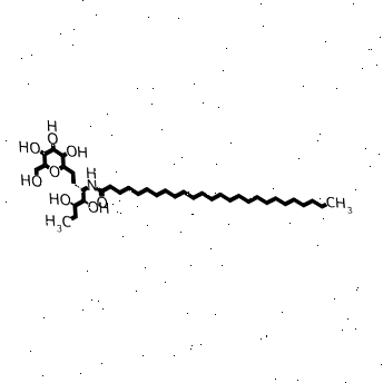 CCCCCCCCCCCCCCCCCCCCCCCCCC(=O)N[C@@H](CCC1OC(CO)C(O)C(O)C1O)[C@@H](O)[C@H](O)CC